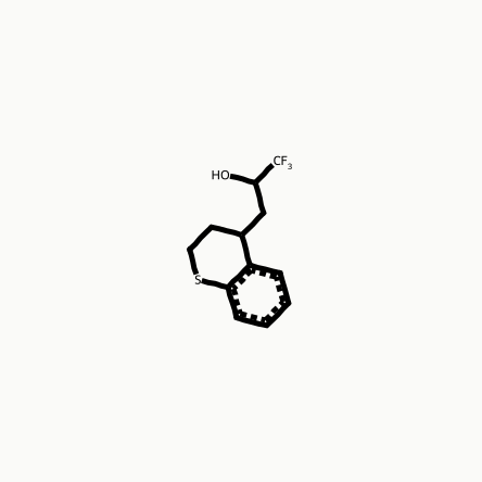 OC(CC1CCSc2ccccc21)C(F)(F)F